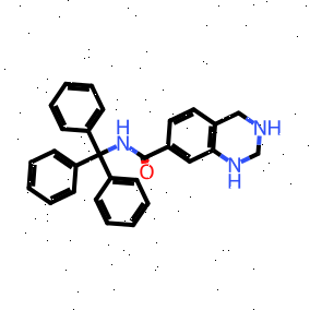 O=C(NC(c1ccccc1)(c1ccccc1)c1ccccc1)c1ccc2c(c1)NCNC2